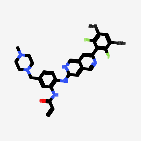 C=CC(=O)Nc1cc(CN2CCN(C)CC2)ccc1NC1C=c2cnc(-c3c(F)c(OC)cc(OC)c3F)cc2=CN1